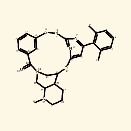 Cc1cccc(C)c1-c1cc2nc(n1)NSc1cccc(c1)C(=O)N1CC(O2)C2CCCN(C)C2C1